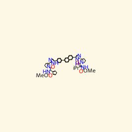 COC(=O)NC(C(=O)N1CCC[C@H]1c1ncc(-c2ccc(-c3ccc4cc(-c5cnc([C@@H]6CCCN6C(=O)[C@@H](NC(=O)OC)C(C)C)[nH]5)ccc4c3)cc2)[nH]1)C1=CCC=C1